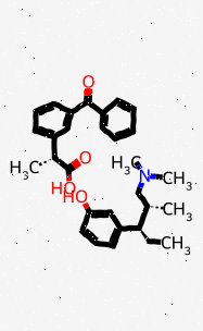 CC[C@@H](c1cccc(O)c1)[C@@H](C)CN(C)C.C[C@@H](C(=O)O)c1cccc(C(=O)c2ccccc2)c1